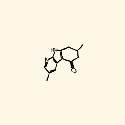 Cc1cnc2[nH]c3c(c2c1)C(=O)CC(C)C3